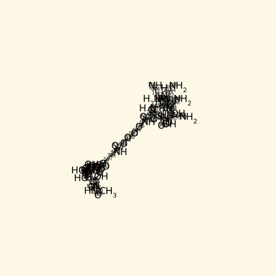 Cc1cn([C@H]2CC(O)[C@@H](COP(=O)(O)OP(=O)(O)OP(=O)(O)OP(=O)(O)OP(=O)(O)OP(=O)(O)OCCCCCCNC(=O)CCOCCOCCOCCOCCNC(=O)CCN3C(=O)CC(SC[C@H](NC(=O)[C@H](CCCCN)NC(O)[C@H](CCCCN)NC(=O)[C@H](CCCCN)NC(=O)[C@H](CCCCN)NC(=O)[C@@H](N)CCCCN)C(=O)O)C3=O)O2)c(=O)[nH]c1=O